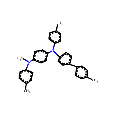 Cc1ccc(-c2ccc(N(c3ccc(C)cc3)c3ccc(N(C)c4ccc(C)cc4)cc3)cc2)cc1